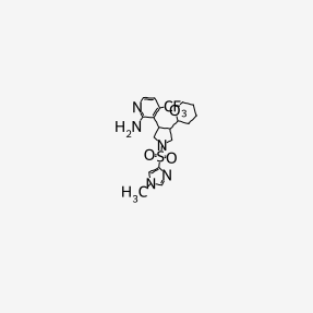 Cn1cnc(S(=O)(=O)N2CC(c3c(C(F)(F)F)ccnc3N)C(C3CCCCO3)C2)c1